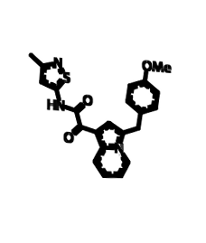 COc1ccc(Cc2cc(C(=O)C(=O)Nc3cc(C)ns3)c3ccccn23)cc1